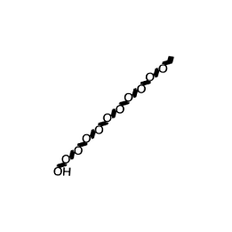 C=CCOCCOCCOCCOCCOCCOCCOCCOCCOCCOCCO